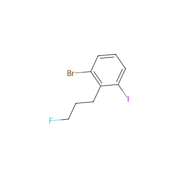 FCCCc1c(Br)cccc1I